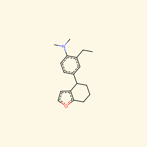 CCc1cc(C2CCCc3occc32)ccc1N(C)C